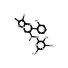 Cc1nn2cc([C@H](C)Nc3nc(N)nc(N)c3C#N)c(-c3ccccc3C(C)C)nc2c1Cl